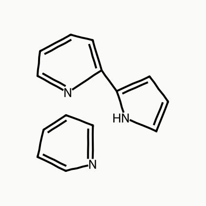 c1ccc(-c2ccc[nH]2)nc1.c1ccncc1